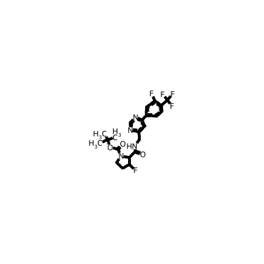 CC(C)(C)OC(=O)N1CCC(F)C1C(=O)NCc1cc(-c2ccc(C(F)(F)F)c(F)c2)ncn1